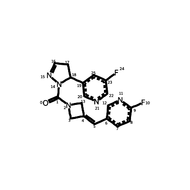 O=C(N1CC(=Cc2ccc(F)nc2)C1)N1N=CCC1c1cncc(F)c1